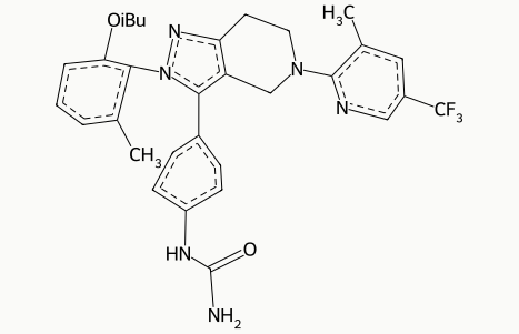 Cc1cc(C(F)(F)F)cnc1N1CCc2nn(-c3c(C)cccc3OCC(C)C)c(-c3ccc(NC(N)=O)cc3)c2C1